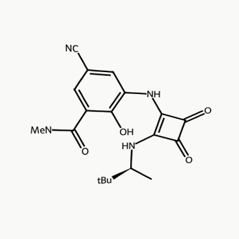 CNC(=O)c1cc(C#N)cc(Nc2c(N[C@@H](C)C(C)(C)C)c(=O)c2=O)c1O